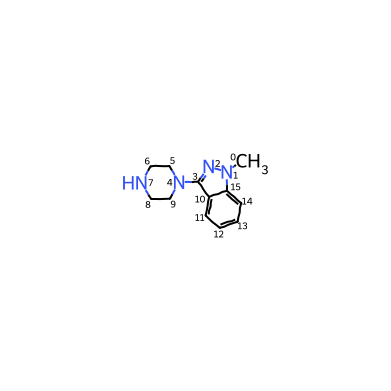 Cn1nc(N2CCNCC2)c2ccccc21